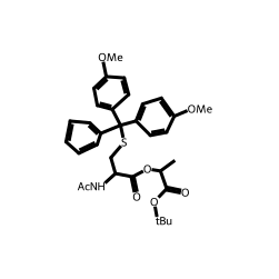 COc1ccc(C(SCC(NC(C)=O)C(=O)OC(C)C(=O)OC(C)(C)C)(c2ccccc2)c2ccc(OC)cc2)cc1